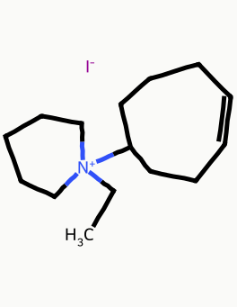 CC[N+]1(C2CCC=CCCC2)CCCCC1.[I-]